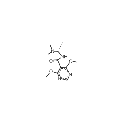 COc1ncnc(OC)c1C(=O)N[C@@H](C)N(C)C